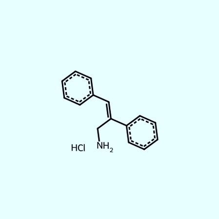 Cl.NCC(=Cc1ccccc1)c1ccccc1